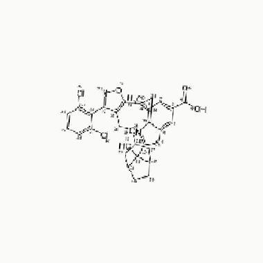 Cc1cc(C(=O)O)cc2sc(C3(O)C4CCC3CC(OCc3c(-c5c(Cl)cccc5Cl)noc3C3CC3)C4)nc12